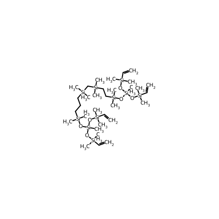 C=C[Si](C)(C)O[Si](C)(O[Si](C)(C)C=C)O[Si](C)(C)CCC[Si](C)(C)C[Si](C)(C)CC[Si](C)(C)O[Si](C)(O[Si](C)(C)C=C)O[Si](C)(C)C=C